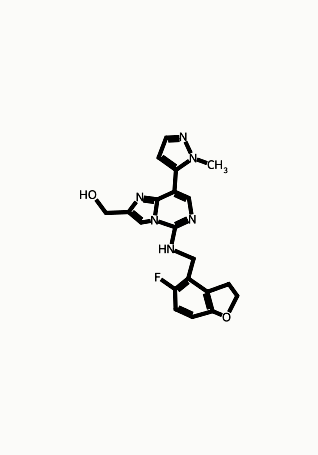 Cn1nccc1-c1cnc(NCc2c(F)ccc3c2CCO3)n2cc(CO)nc12